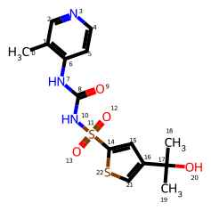 Cc1cnccc1NC(=O)NS(=O)(=O)c1cc(C(C)(C)O)cs1